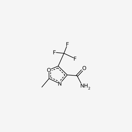 Cc1nc(C(N)=O)c(C(F)(F)F)o1